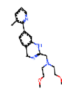 COCCN(CCOC)CC1=N[CH]c2ccc(-c3ncccc3C)cc2N1